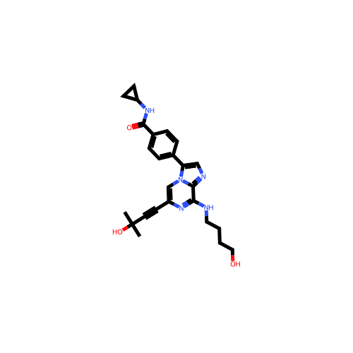 CC(C)(O)C#Cc1cn2c(-c3ccc(C(=O)NC4CC4)cc3)cnc2c(NCCCCO)n1